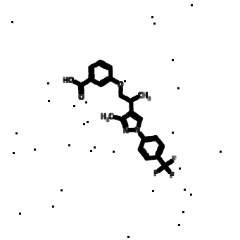 Cc1nn(-c2ccc(C(F)(F)F)cc2)cc1C(C)COc1cccc(C(=O)O)c1